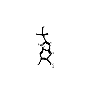 Cc1cc2[nH]c(C(C)(C)C)cc2cc1Br